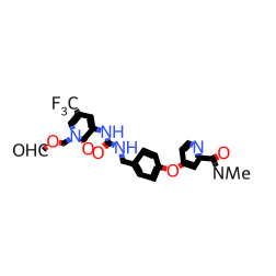 CNC(=O)c1cc(Oc2ccc(CNC(=O)Nc3cc(C(F)(F)F)cn(COC=O)c3=O)cc2)ccn1